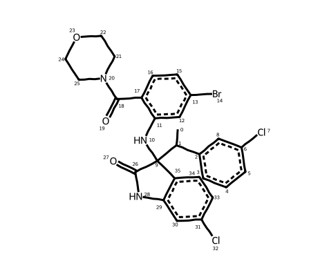 CC(c1cccc(Cl)c1)C1(Nc2cc(Br)ccc2C(=O)N2CCOCC2)C(=O)Nc2cc(Cl)ccc21